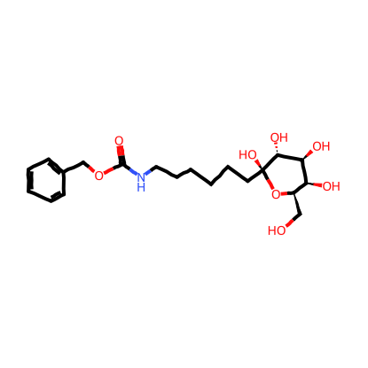 O=C(NCCCCCC[C@@]1(O)O[C@H](CO)[C@H](O)[C@H](O)[C@H]1O)OCc1ccccc1